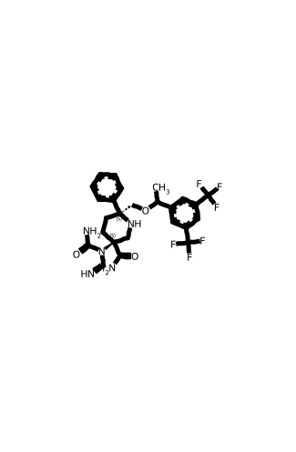 CC(OC[C@@]1(c2ccccc2)CC[C@](C(N)=O)(N(C=N)C(N)=O)CN1)c1cc(C(F)(F)F)cc(C(F)(F)F)c1